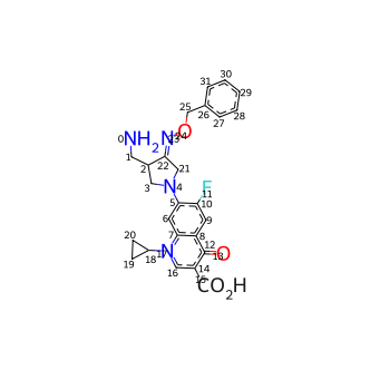 NCC1CN(c2cc3c(cc2F)c(=O)c(C(=O)O)cn3C2CC2)CC1=NOCc1ccccc1